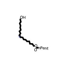 CCCCCC(=O)OCCCCCCCC/C=C\CCCCCCCCO